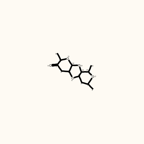 CC1CC2OC3CC(=O)C(C)OC3OC2C(C)O1